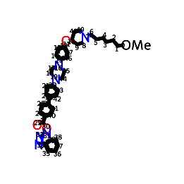 COCCCCCCN1CCC(Oc2ccc(N3CCN(c4ccc(-c5ccc(C(=O)On6nnc7ccccc76)cc5)cc4)CC3)cc2)CC1